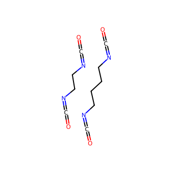 O=C=NCCCCN=C=O.O=C=NCCN=C=O